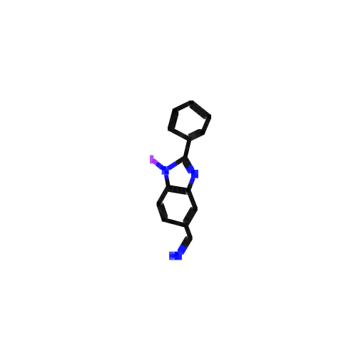 N=Cc1ccc2c(c1)nc(-c1ccccc1)n2I